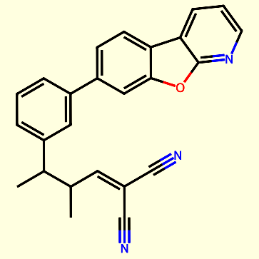 CC(C=C(C#N)C#N)C(C)c1cccc(-c2ccc3c(c2)oc2ncccc23)c1